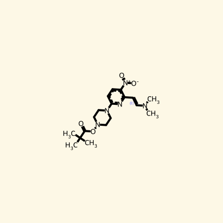 CN(C)/C=C/c1nc(N2CCN(OC(=O)C(C)(C)C)CC2)ccc1[N+](=O)[O-]